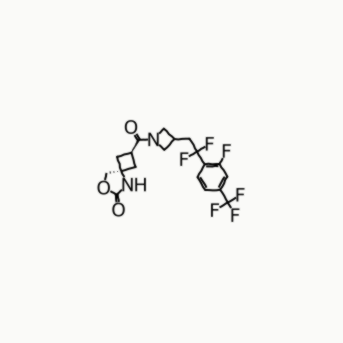 O=C1N[C@]2(CO1)C[C@H](C(=O)N1CC(CC(F)(F)c3ccc(C(F)(F)F)cc3F)C1)C2